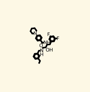 CCc1cccc(CNCC(O)C(Cc2cc(F)cc(F)c2)NC(=O)c2ccc(N3CCCCC3)cc2)c1